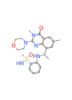 Cc1cc(C(C)Nc2ccccc2S(C)(=N)=O)c2nc(N3CCOCC3)n(C)c(=O)c2c1